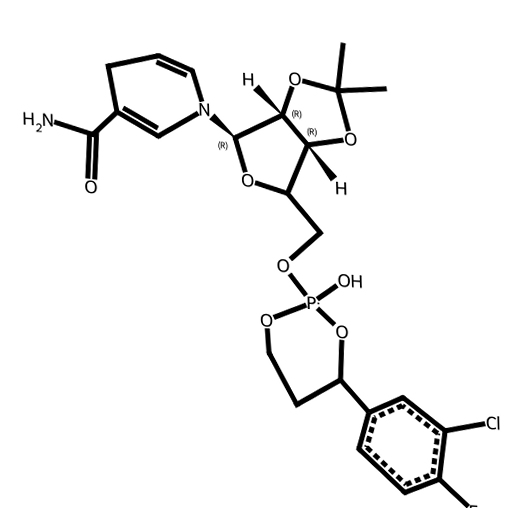 CC1(C)O[C@@H]2[C@H](O1)C(CO[P]1(O)OCCC(c3ccc(F)c(Cl)c3)O1)O[C@H]2N1C=CCC(C(N)=O)=C1